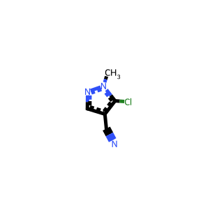 Cn1ncc(C#N)c1Cl